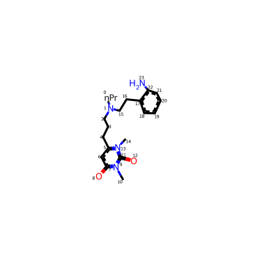 CCCN(CCCc1cc(=O)n(C)c(=O)n1C)CCc1ccccc1N